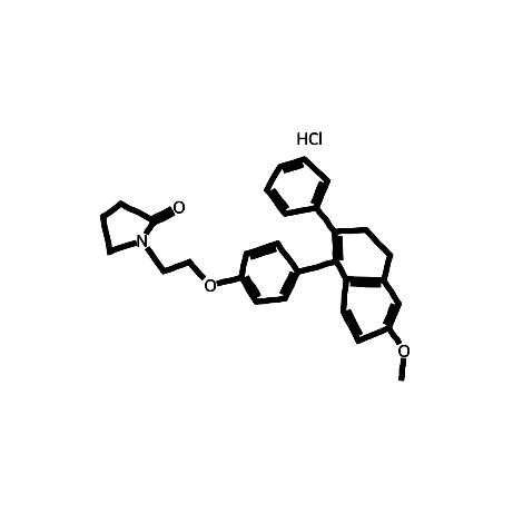 COc1ccc2c(c1)CCC(c1ccccc1)=C2c1ccc(OCCN2CCCC2=O)cc1.Cl